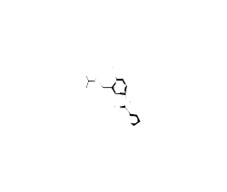 COc1ccc(NC(=N)c2cccs2)cc1CNC(C)C